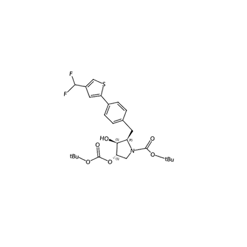 CC(C)(C)OC(=O)O[C@H]1CN(C(=O)OC(C)(C)C)[C@H](Cc2ccc(-c3cc(C(F)F)cs3)cc2)[C@@H]1O